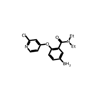 Bc1ccc(Oc2ccnc(Cl)c2)c(C(=O)N(CC)CC)c1